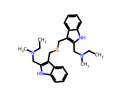 CCN(C)Cc1[nH]c2ccccc2c1CSCc1c(CN(C)CC)[nH]c2ccccc12